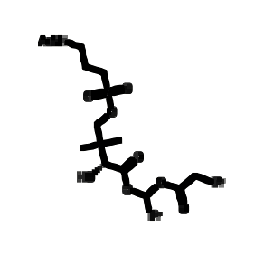 CC(=O)NCCCS(=O)(=O)OCC(C)(C)[C@@H](O)C(=O)OC(OC(=O)CC(C)C)C(C)C